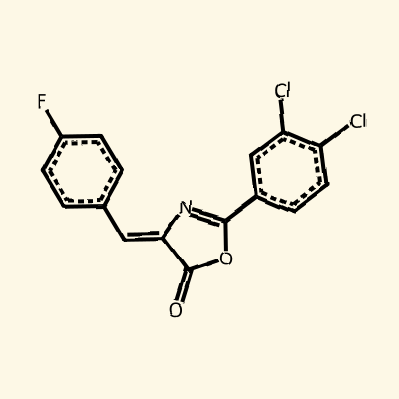 O=C1OC(c2ccc(Cl)c(Cl)c2)=N/C1=C\c1ccc(F)cc1